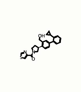 O=C(c1cscn1)N1CC[C@@H](c2ccc(-c3ccccc3C3CC3)cc2CO)C1